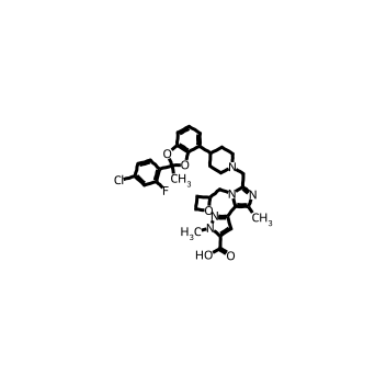 Cc1nc(CN2CCC(c3cccc4c3OC(C)(c3ccc(Cl)cc3F)O4)CC2)n(CC2CCO2)c1-c1cc(C(=O)O)n(C)n1